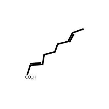 CC=CCCCC=CC(=O)O